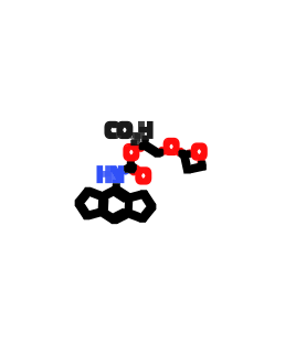 O=C(Nc1c2c(cc3c1CCC3)CCC2)O[C@H](COC1CCO1)C(=O)O